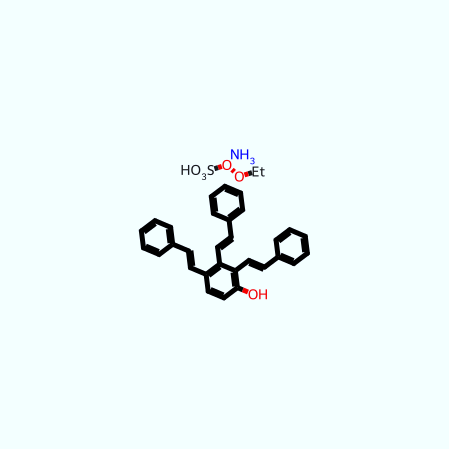 CCOOS(=O)(=O)O.N.Oc1ccc(C=Cc2ccccc2)c(C=Cc2ccccc2)c1C=Cc1ccccc1